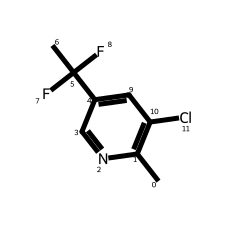 Cc1ncc(C(C)(F)F)cc1Cl